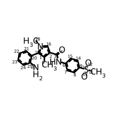 Cc1c(C(=O)Nc2ccc(S(C)(=O)=O)cc2)cn(C)c1-c1ccccc1N